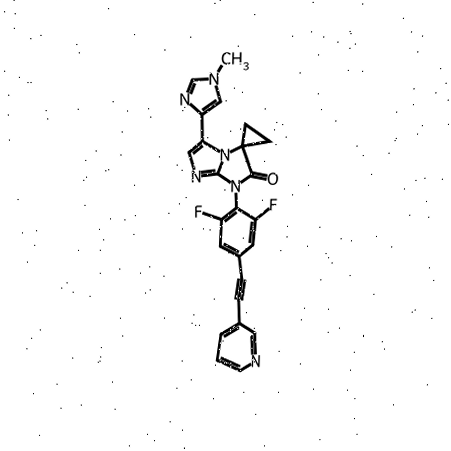 Cn1cnc(-c2cnc3n2C2(CC2)C(=O)N3c2c(F)cc(C#Cc3cccnc3)cc2F)c1